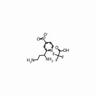 NCCC(N)c1cc([N+](=O)[O-])ccn1.O=C(O)C(F)(F)F